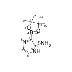 CC1(C)OB(C2=NC=CNC2N)OC1(C)C